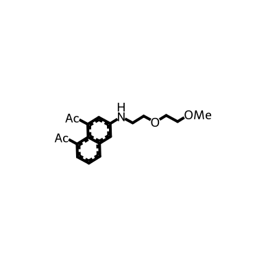 COCCOCCNc1cc(C(C)=O)c2c(C(C)=O)cccc2c1